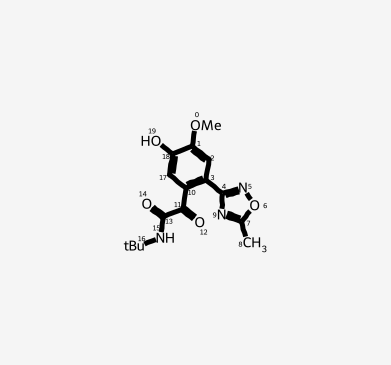 COc1cc(-c2noc(C)n2)c(C(=O)C(=O)NC(C)(C)C)cc1O